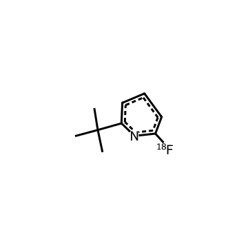 CC(C)(C)c1cccc([18F])n1